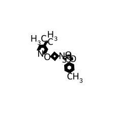 Cc1ccc(S(=O)(=O)SN[C@H]2C[C@H](Oc3cc(C(C)C)ccn3)C2)cc1